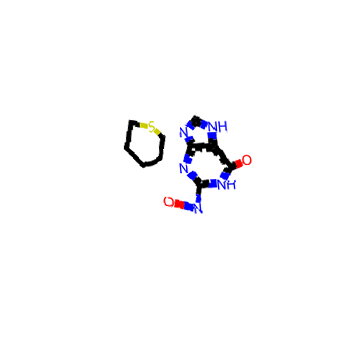 C1CCSCC1.O=Nc1nc2nc[nH]c2c(=O)[nH]1